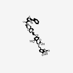 O=C(O)N(CCc1ccc(O)c2[nH]c(=O)sc12)Cc1ccc(OCCN2CCC3(CC2)CN(C(=O)c2csc(-c4ccccc4)n2)CCO3)cc1O